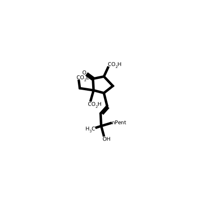 CCCCCC(C)(O)/C=C/C1CC(C(=O)O)C(=O)C1(CC(=O)OCC)C(=O)O